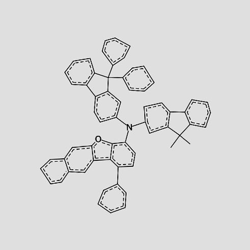 CC1(C)c2ccccc2-c2ccc(N(c3ccc4c(c3)C(c3ccccc3)(c3ccccc3)c3ccccc3-4)c3ccc(-c4ccccc4)c4c3oc3cc5ccccc5cc34)cc21